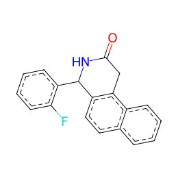 O=C1Cc2c(ccc3ccccc23)C(c2ccccc2F)N1